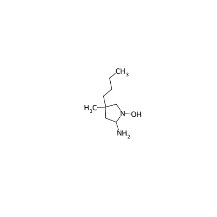 CCCCC1(C)CC(N)N(O)C1